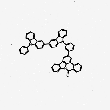 O=c1c2ccccc2c2cc(-c3cccc(-n4c5ccccc5c5cc(-c6ccc7c(c6)c6ccccc6n7-c6ccccc6)ccc54)c3)cc3c4ccccc4n1c23